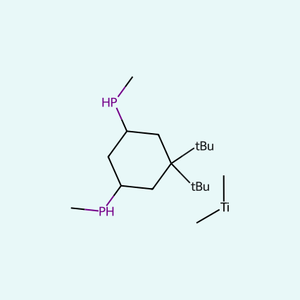 CPC1CC(PC)CC(C(C)(C)C)(C(C)(C)C)C1.[CH3][Ti][CH3]